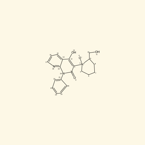 O=c1c([N+]2([O-])CCCCC2CO)c(O)c2cccnc2n1-c1ccccc1